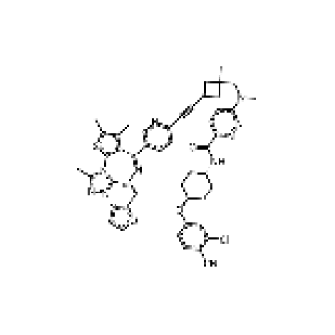 Cc1sc2c(c1C)C(c1ccc(C#CC3CC(C)(CN(C)c4ccc(C(=O)N[C@H]5CC[C@H](Oc6ccc(C#N)c(Cl)c6)CC5)nn4)C3)nc1)=N[C@@H](Cc1ncco1)c1nnc(C)n1-2